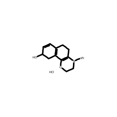 CCCN1CCOC2=C1CCC1=C2CC(O)C=C1.Cl